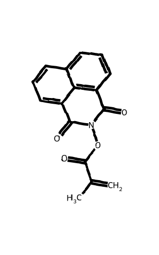 C=C(C)C(=O)ON1C(=O)c2cccc3cccc(c23)C1=O